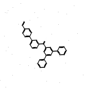 C=Cc1ccc(-c2cccc(C(=O)c3cc(-c4ccccc4)cc(-c4ccccc4)c3)c2)cc1